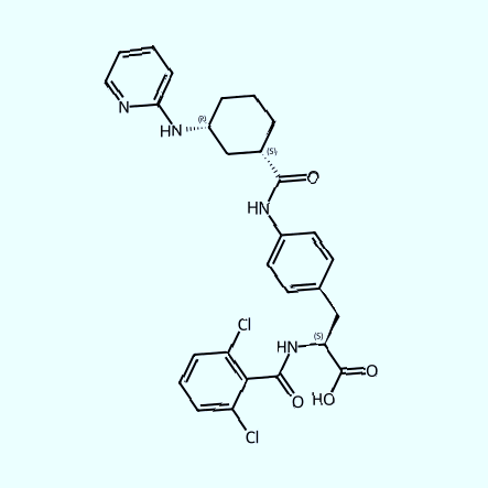 O=C(N[C@@H](Cc1ccc(NC(=O)[C@H]2CCC[C@@H](Nc3ccccn3)C2)cc1)C(=O)O)c1c(Cl)cccc1Cl